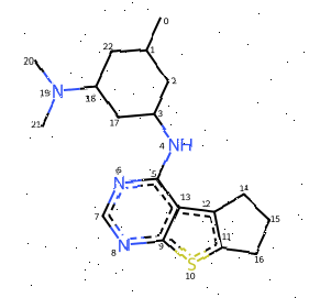 CC1CC(Nc2ncnc3sc4c(c23)CCC4)CC(N(C)C)C1